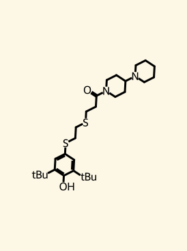 CC(C)(C)c1cc(SCCSCCC(=O)N2CCC(N3CCCCC3)CC2)cc(C(C)(C)C)c1O